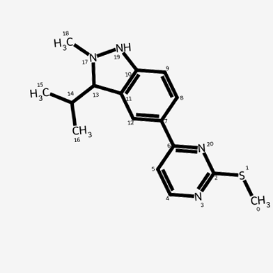 CSc1nccc(-c2ccc3c(c2)C(C(C)C)N(C)N3)n1